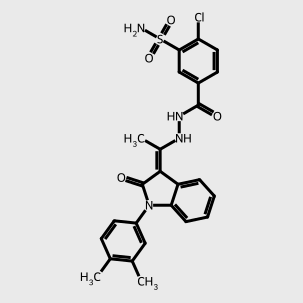 CC(NNC(=O)c1ccc(Cl)c(S(N)(=O)=O)c1)=C1C(=O)N(c2ccc(C)c(C)c2)c2ccccc21